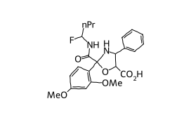 CCCC(F)NC(=O)C1(c2ccc(OC)cc2OC)NC(c2ccccc2)C(C(=O)O)O1